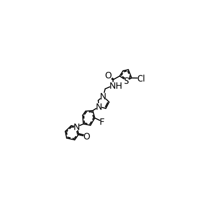 O=C(NCN1C=CN(c2ccc(-n3ccccc3=O)cc2F)C1)c1ccc(Cl)s1